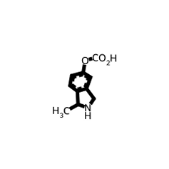 CC1NCc2cc(OC(=O)O)ccc21